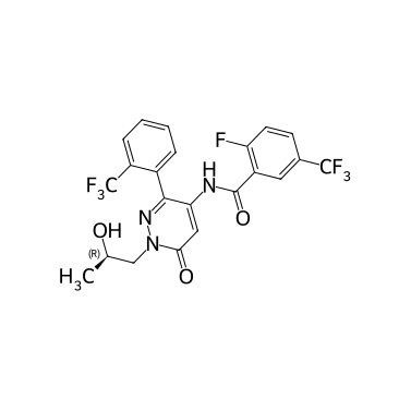 C[C@@H](O)Cn1nc(-c2ccccc2C(F)(F)F)c(NC(=O)c2cc(C(F)(F)F)ccc2F)cc1=O